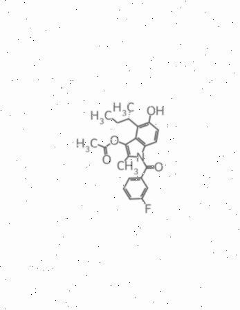 CC[C@H](C)c1c(O)ccc2c1c(OC(C)=O)c(C)n2C(=O)c1cccc(F)c1